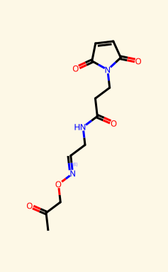 CC(=O)CO/N=C/CNC(=O)CCN1C(=O)C=CC1=O